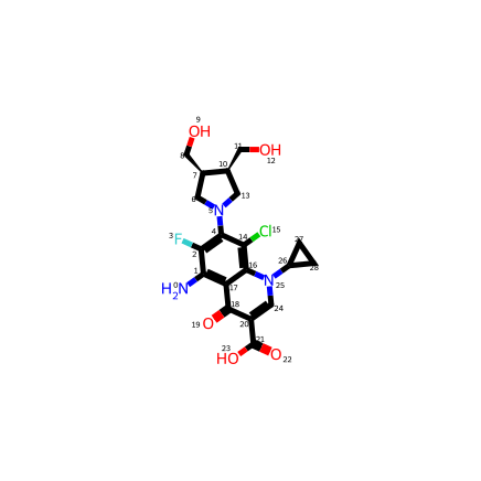 Nc1c(F)c(N2C[C@@H](CO)[C@@H](CO)C2)c(Cl)c2c1c(=O)c(C(=O)O)cn2C1CC1